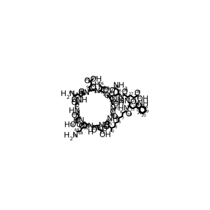 CC(C)CCCCCCC(=O)NC(Cc1c[nH]c2ccccc12)C(=O)NC(CCC(=O)O)C(=O)NC(CC(N)=O)C(=O)NC1C(=O)N(C)CC(=O)NC(C)C(=O)NC(CC(=O)O)C(=O)NC(CCCCN)C(=O)NC(CC(=O)O)C(=O)NCC(=O)NC(CC(N)=O)C(=O)NC(CCC(=O)O)C(=O)NC(C(C)C)C(=O)OC1C